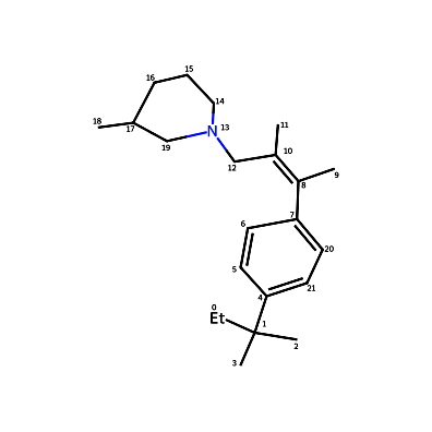 CCC(C)(C)c1ccc(C(C)=C(C)CN2CCCC(C)C2)cc1